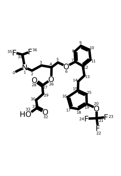 CN(CCC(COc1ccccc1CCc1cccc(OC(F)(F)F)c1)OC(=O)CCC(=O)O)C(F)F